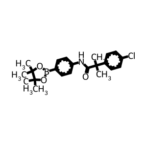 CC(C)(C(=O)Nc1ccc(B2OC(C)(C)C(C)(C)O2)cc1)c1ccc(Cl)cc1